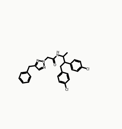 CC(NC(=O)Cn1ncc(Cc2ccccc2)n1)C(Cc1ccc(Cl)cc1)c1ccc(Cl)cc1